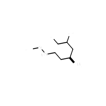 C=C(CCNNC)CC(C)CC